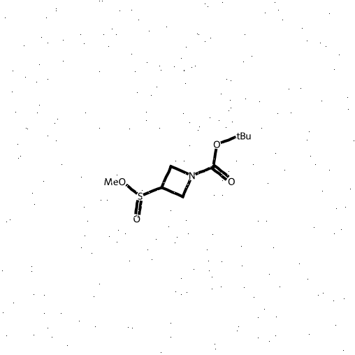 COS(=O)C1CN(C(=O)OC(C)(C)C)C1